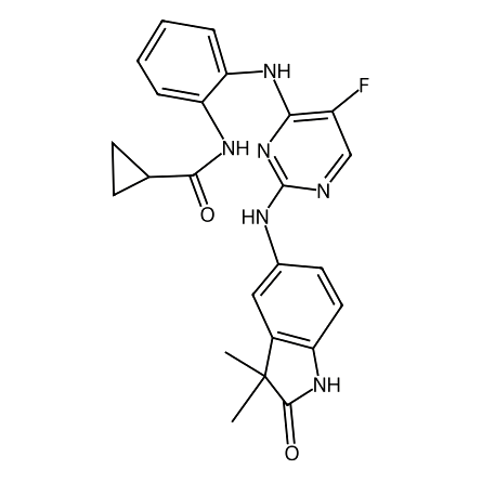 CC1(C)C(=O)Nc2ccc(Nc3ncc(F)c(Nc4ccccc4NC(=O)C4CC4)n3)cc21